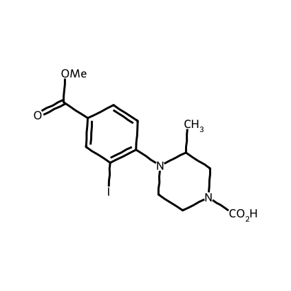 COC(=O)c1ccc(N2CCN(C(=O)O)CC2C)c(I)c1